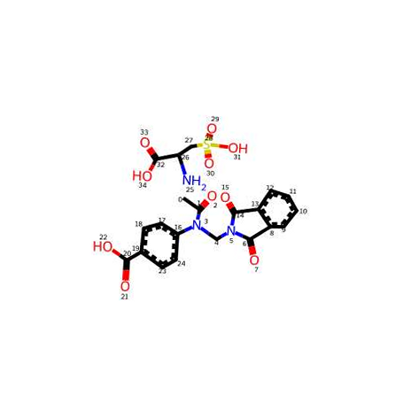 CC(=O)N(CN1C(=O)c2ccccc2C1=O)c1ccc(C(=O)O)cc1.NC(CS(=O)(=O)O)C(=O)O